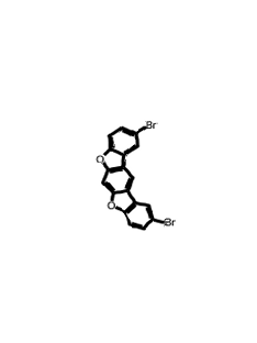 Brc1ccc2oc3cc4oc5ccc(Br)cc5c4cc3c2c1